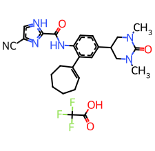 CN1CC(c2ccc(NC(=O)c3nc(C#N)c[nH]3)c(C3=CCCCCC3)c2)CN(C)C1=O.O=C(O)C(F)(F)F